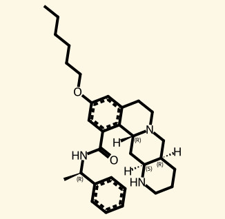 CCCCCCOc1cc2c(c(C(=O)N[C@H](C)c3ccccc3)c1)[C@H]1C[C@@H]3NCCC[C@@H]3CN1CC2